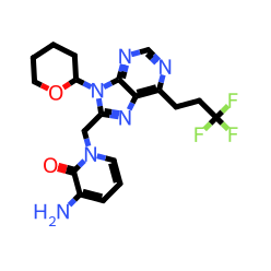 Nc1cccn(Cc2nc3c(CCC(F)(F)F)ncnc3n2C2CCCCO2)c1=O